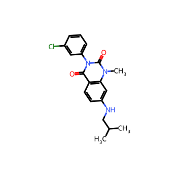 CC(C)CNc1ccc2c(=O)n(-c3cccc(Cl)c3)c(=O)n(C)c2c1